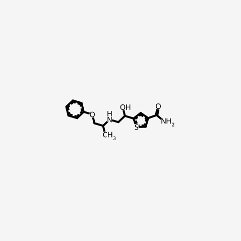 CC(COc1ccccc1)NCC(O)c1cc(C(N)=O)cs1